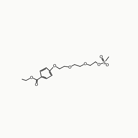 CCOC(=O)c1ccc(OCCOCCOCCOS(C)(=O)=O)cc1